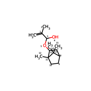 C=C(C)C(O)OC1CC2CCC1(C)C2(C)C